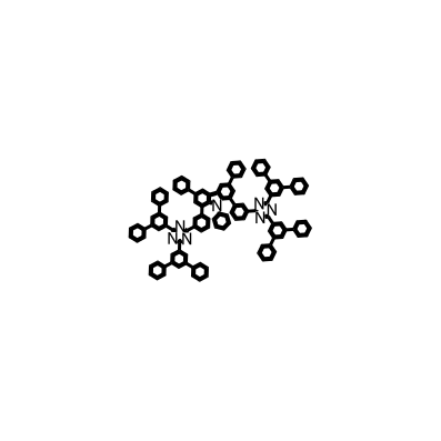 c1ccc(-c2cc(-c3ccccc3)cc(-c3nc(-c4cc(-c5ccccc5)cc(-c5ccccc5)c4)nc(-c4cccc(-c5cc(-c6ccccc6)cc6c7cc(-c8ccccc8)cc(-c8cccc(-c9nc(-c%10cc(-c%11ccccc%11)cc(-c%11ccccc%11)c%10)nc(-c%10cc(-c%11ccccc%11)cc(-c%11ccccc%11)c%10)n9)c8)c7n(-c7ccccc7)c56)c4)n3)c2)cc1